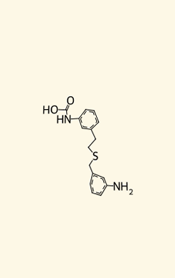 Nc1cccc(CSCCc2cccc(NC(=O)O)c2)c1